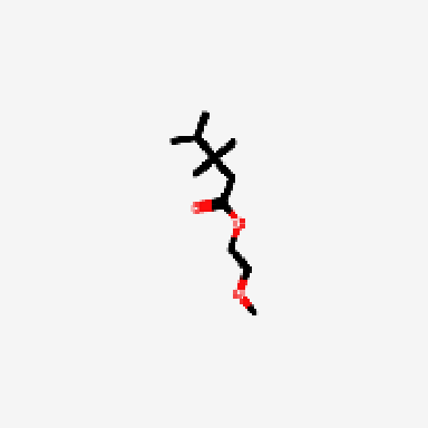 COCCOC(=O)CC(C)(C)C(C)C